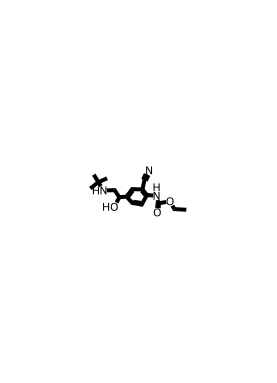 CCOC(=O)Nc1ccc(C(O)CNC(C)(C)C)cc1C#N